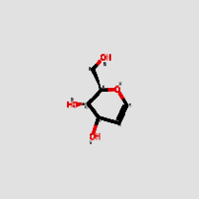 OC[C@H]1OC=CC(O)[C@@H]1O